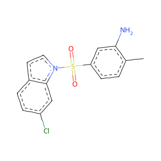 Cc1ccc(S(=O)(=O)n2ccc3ccc(Cl)cc32)cc1N